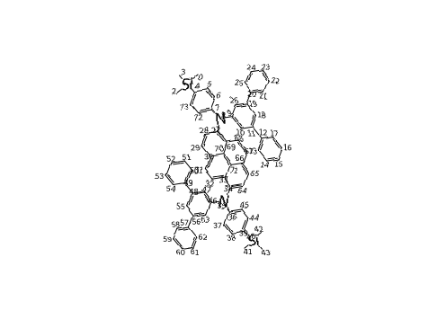 C[Si](C)(C)c1ccc(N(c2cc(-c3ccccc3)cc(-c3ccccc3)c2)c2ccc3ccc4c(N(c5ccc([Si](C)(C)C)cc5)c5cc(-c6ccccc6)cc(-c6ccccc6)c5)ccc5ccc2c3c54)cc1